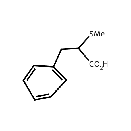 CSC(Cc1ccccc1)C(=O)O